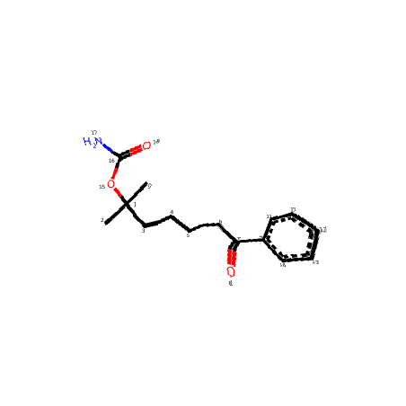 CC(C)(CCCCC(=O)c1ccccc1)OC(N)=O